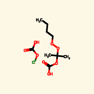 CCCCOOC(C)(C)OC(=O)O.O=C(O)OCl